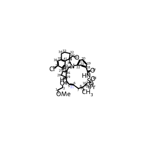 COCCO[C@H]1/C=C/C[C@@H](C)[C@@H](C(C)C)S(=O)(=O)NC(=O)c2ccc3c(c2)N(C[C@@H]2CC[C@H]21)C[C@@]1(CCCc2cc(Cl)ccc21)CO3